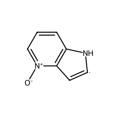 [O-][n+]1cccc2[nH][c]cc21